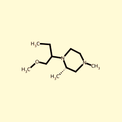 CCC(COC)N1CCN(C)C[C@@H]1C